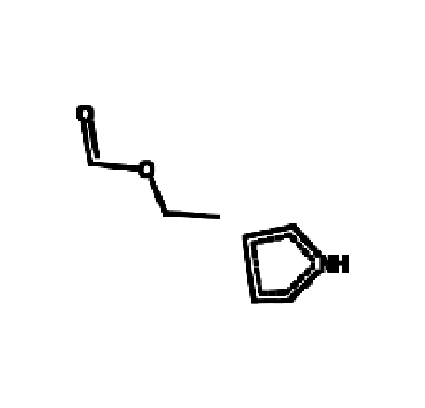 CCOC=O.c1cc[nH]c1